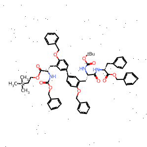 CC(C)(C)OC(=O)N[C@@H](Cc1cc(-c2ccc(OCc3ccccc3)c(C[C@H](NC(=O)OCc3ccccc3)C(=O)OCC[Si](C)(C)C)c2)ccc1OCc1ccccc1)C(=O)N[C@@H](Cc1ccccc1)C(=O)OCc1ccccc1